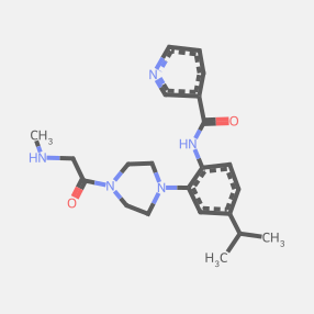 CNCC(=O)N1CCN(c2cc(C(C)C)ccc2NC(=O)c2cccnc2)CC1